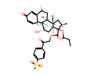 CCC(=O)O[C@]1(C(=O)OCC(=O)c2ccc(S(C)(=O)=O)cc2)[C@H](C)C[C@H]2[C@@H]3C[C@H](F)C4=CC(=O)C=C[C@]4(C)[C@@]3(F)[C@@H](O)C[C@@]21C